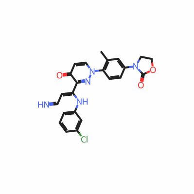 Cc1cc(N2CCOC2=O)ccc1-n1ccc(=O)c(/C(=C/C=N)Nc2cccc(Cl)c2)n1